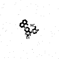 CCc1nc2c(c(N3CCN(C)C(CC#N)C3)n1)CCN(c1cccc3cccc(C)c13)C2